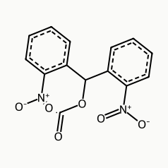 O=[C]OC(c1ccccc1[N+](=O)[O-])c1ccccc1[N+](=O)[O-]